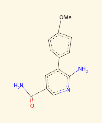 COc1ccc(-c2cc(C(N)=O)cnc2N)cc1